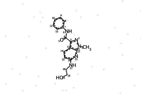 Cn1nc(C(=O)Nc2ccccc2)c2ccc(NCCO)nc21